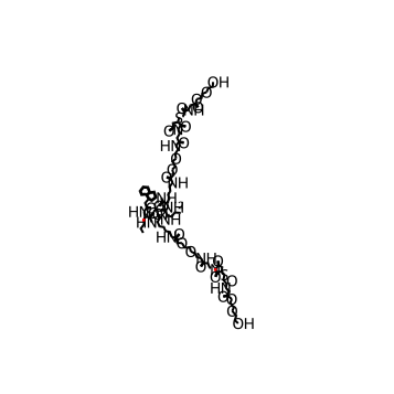 CCCCC(NC(=O)Cc1cccc2ccccc12)C(=O)NC(CCCCNC(=O)COCCOCCNC(=O)CCN1C(=O)CC(SCC(=O)NCC(=O)OCCOCCO)C1=O)C(=O)NC(CCC)C(=O)NC(CCCCNC(=O)COCCOCCNC(=O)CCN1C(=O)CC(SCC(=O)NCC(=O)OCCOCCO)C1=O)C(N)=O